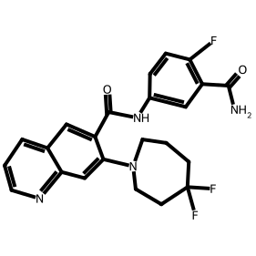 NC(=O)c1cc(NC(=O)c2cc3cccnc3cc2N2CCCC(F)(F)CC2)ccc1F